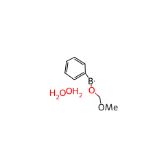 COCO[B]c1ccccc1.O.O